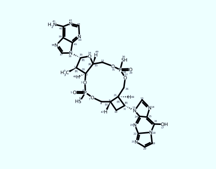 C[C@@H]1[C@@H]2OP(=O)(S)OC[C@H]3C[C@@H](n4cnc5c(O)n6ccnc6nc54)[C@@H]3COP(=O)(S)OC[C@H]2O[C@H]1n1cnc2c(N)ncnc21